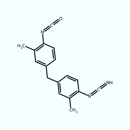 Cc1cc(Cc2ccc(N=C=O)c(C)c2)ccc1N=C=N